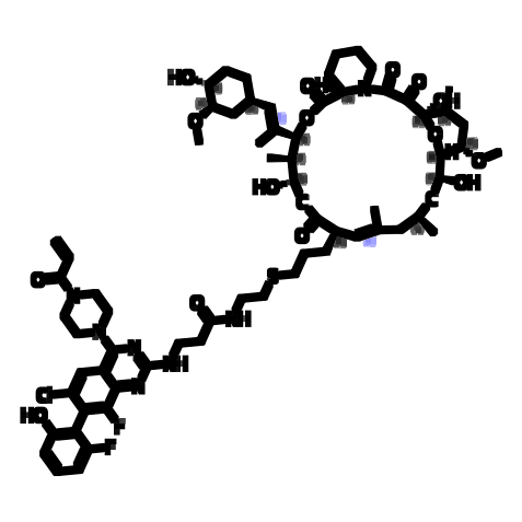 C=CC(=O)N1CCN(c2nc(NCCC(=O)NCCSCCC[C@@H]3/C=C(\C)C[C@H](C)C[C@H](O)[C@H]4O[C@@](O)(C(=O)C(=O)N5CCCC[C@H]5C(=O)O[C@H](/C(C)=C/[C@@H]5CC[C@@H](O)[C@H](OC)C5)[C@H](C)[C@@H](O)CC3=O)[C@H](C)C[C@@H]4OC)nc3c(F)c(-c4c(O)cccc4F)c(Cl)cc23)CC1